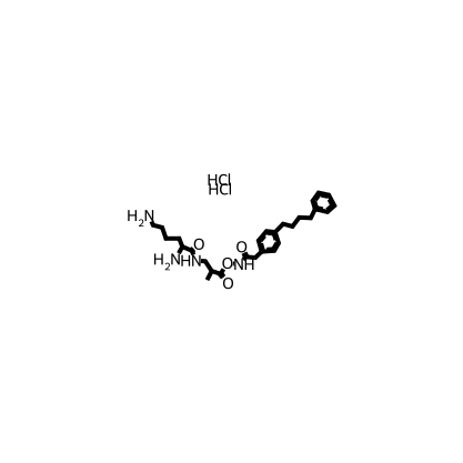 CC(CNC(=O)C(N)CCCCN)C(=O)ONC(=O)Cc1ccc(CCCCc2ccccc2)cc1.Cl.Cl